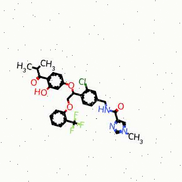 CC(C)C(=O)c1ccc(OC(COc2ccccc2C(F)(F)F)c2ccc(CNC(=O)c3cn(C)cn3)cc2Cl)cc1O